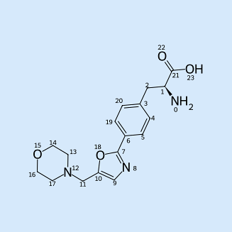 N[C@@H](Cc1ccc(-c2ncc(CN3CCOCC3)o2)cc1)C(=O)O